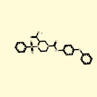 NC(=O)C1CN(C(=O)Nc2ccc(Oc3ccccc3)cc2)CCN1S(=O)(=O)c1ccccc1